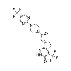 O=C(C[C@H]1CCc2c1n[nH]c(=O)c2C(F)(F)F)N1CCN(c2ncc(C(F)(F)F)cn2)CC1